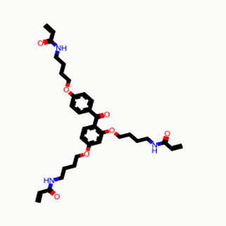 C=CC(=O)NCCCCOc1ccc(C(=O)c2ccc(OCCCCNC(=O)C=C)cc2OCCCCNC(=O)C=C)cc1